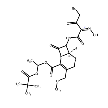 COCC1=C(C(=O)OC(C)OC(=O)C(C)(C)C)N2C(=O)C(NC(=O)/C(=N\O)C(=O)CBr)[C@H]2SC1